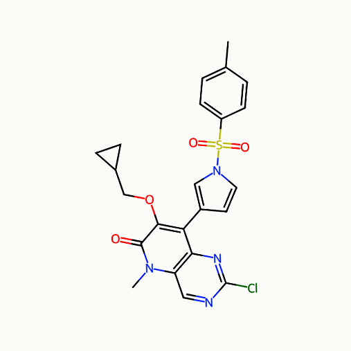 Cc1ccc(S(=O)(=O)n2ccc(-c3c(OCC4CC4)c(=O)n(C)c4cnc(Cl)nc34)c2)cc1